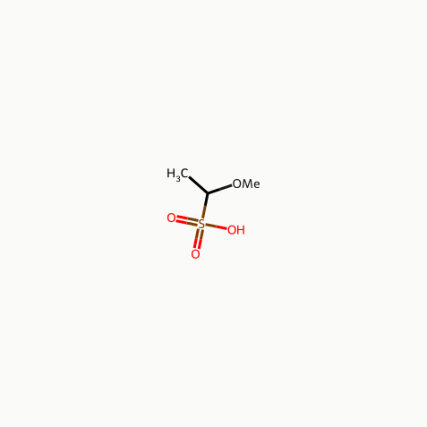 COC(C)S(=O)(=O)O